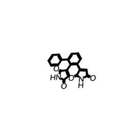 O=C1C=C(c2cccc(-c3ccccc3)c2C2=CC(=O)NC2=O)C(=O)N1